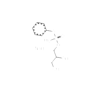 O=P(O)(OCC(O)CO)Oc1ccccc1.[NaH]